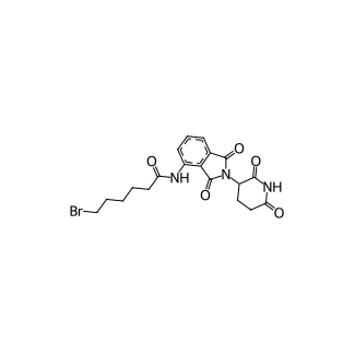 O=C1CCC(N2C(=O)c3cccc(NC(=O)CCCCCBr)c3C2=O)C(=O)N1